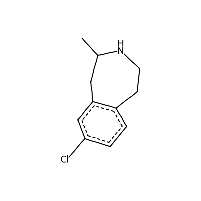 CC1Cc2cc(Cl)ccc2CCN1